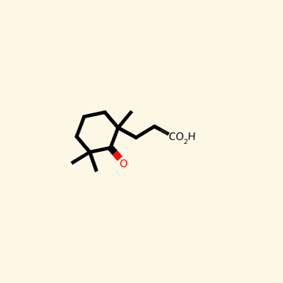 CC1(C)CCCC(C)(CCC(=O)O)C1=O